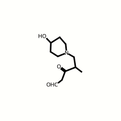 CC(CN1CCC(O)CC1)C(=O)CC=O